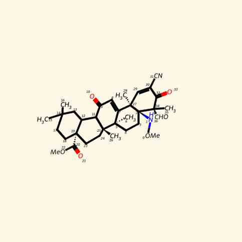 CON[C@@]12CC[C@]3(C)C(=CC(=O)C4C5CC(C)(C)CC[C@]5(C(=O)OC)CC[C@]43C)[C@@]1(C)C=C(C#N)C(=O)[C@@]2(C)C=O